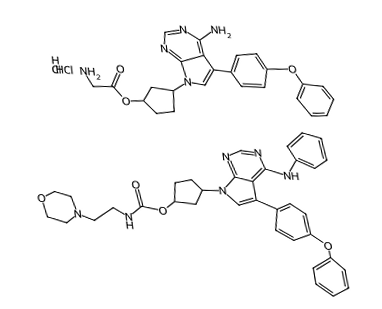 Cl.Cl.NCC(=O)OC1CCC(n2cc(-c3ccc(Oc4ccccc4)cc3)c3c(N)ncnc32)C1.O=C(NCCN1CCOCC1)OC1CCC(n2cc(-c3ccc(Oc4ccccc4)cc3)c3c(Nc4ccccc4)ncnc32)C1